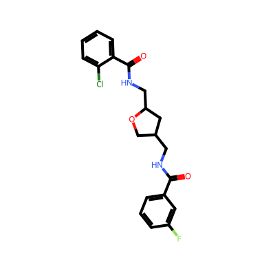 O=C(NCC1COC(CNC(=O)c2ccccc2Cl)C1)c1cccc(F)c1